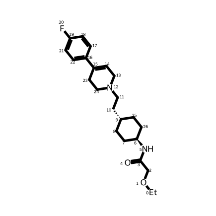 CCOCC(=O)N[C@H]1CC[C@H](CCN2CC=C(c3ccc(F)cc3)CC2)CC1